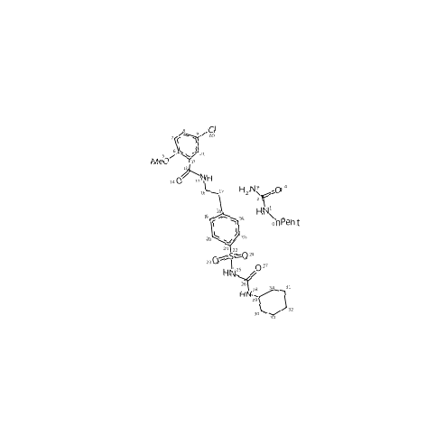 CCCCCNC(N)=O.COc1ccc(Cl)cc1C(=O)NCCc1ccc(S(=O)(=O)NC(=O)NC2CCCCC2)cc1